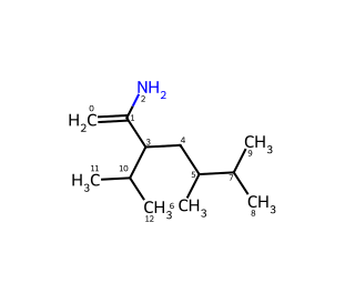 C=C(N)C(CC(C)C(C)C)C(C)C